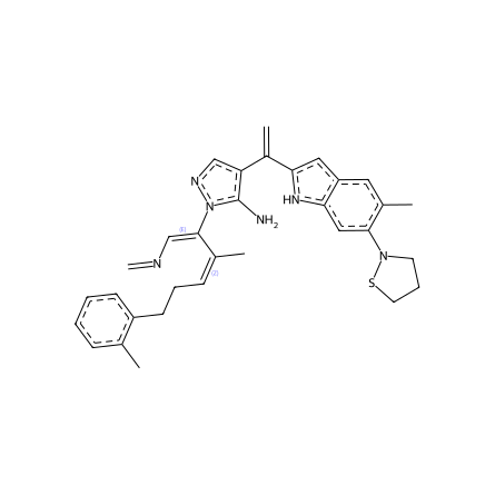 C=N/C=C(\C(C)=C/CCc1ccccc1C)n1ncc(C(=C)c2cc3cc(C)c(N4CCCS4)cc3[nH]2)c1N